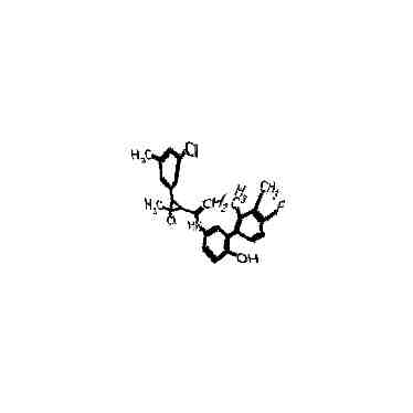 C=C(Nc1ccc(O)c(-c2ccc(F)c(C)c2C)c1)C1C(c2cc(C)cc(Cl)c2)C1(C)Cl